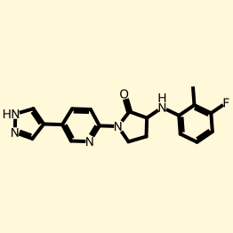 Cc1c(F)cccc1NC1CCN(c2ccc(-c3cn[nH]c3)cn2)C1=O